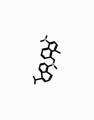 Cc1ccc(N(C)C)c2cccc(CN(C)c3cccc4c(C(C)C)cccc34)c12